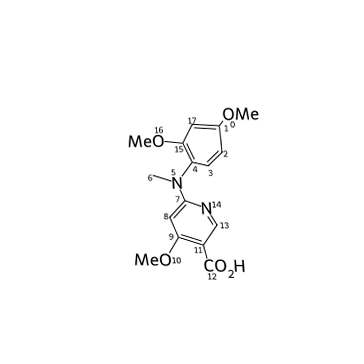 COc1ccc(N(C)c2cc(OC)c(C(=O)O)cn2)c(OC)c1